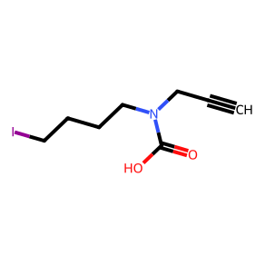 C#CCN(CCCCI)C(=O)O